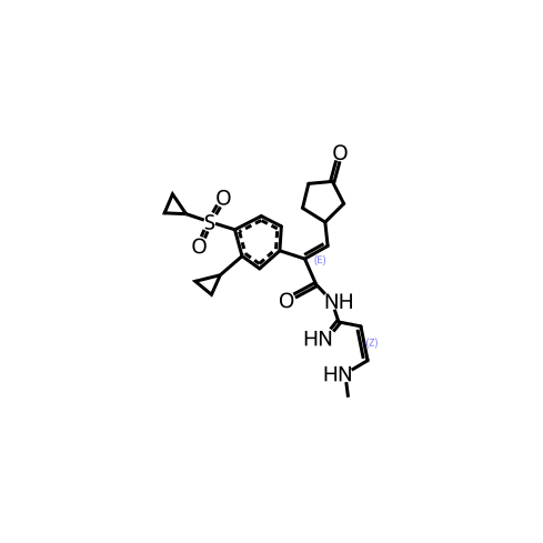 CN/C=C\C(=N)NC(=O)/C(=C/C1CCC(=O)C1)c1ccc(S(=O)(=O)C2CC2)c(C2CC2)c1